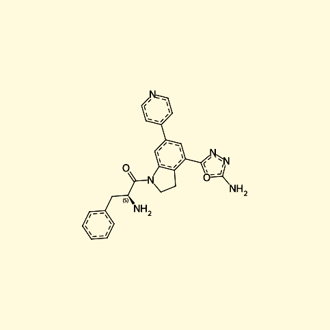 Nc1nnc(-c2cc(-c3ccncc3)cc3c2CCN3C(=O)[C@@H](N)Cc2ccccc2)o1